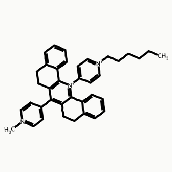 CCCCCC[n+]1ccc(-[n+]2c3c(c(-c4cc[n+](C)cc4)c4c2-c2ccccc2CC4)CCc2ccccc2-3)cc1